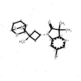 CC1(C)C(=O)N([C@H]2C[C@@](C)(N3CC4CCC3CO4)C2)c2cc(Br)cnc21